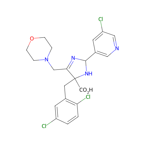 O=C(O)C1(Cc2cc(Cl)ccc2Cl)NC(c2cncc(Cl)c2)N=C1CN1CCOCC1